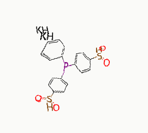 O=[SH](=O)c1ccc(P(c2ccccc2)c2ccc([SH](=O)=O)cc2)cc1.[KH].[KH]